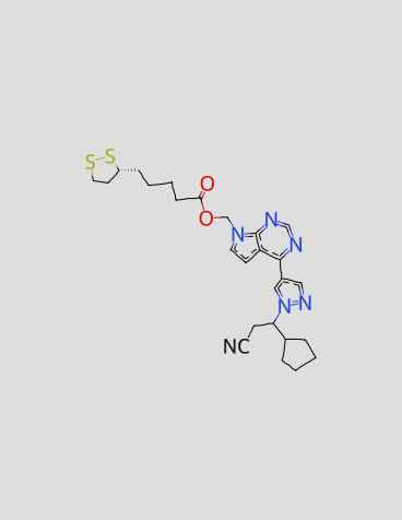 N#CCC(C1CCCC1)n1cc(-c2ncnc3c2ccn3COC(=O)CCCC[C@@H]2CCSS2)cn1